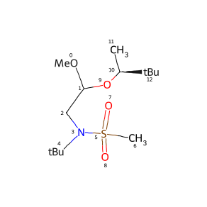 COC(CN(C(C)(C)C)S(C)(=O)=O)O[C@@H](C)C(C)(C)C